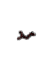 c1ccc(-c2ccc3c(c2)c2cc(-c4ccccc4)ccc2n3-c2ccc(-c3cccc(-c4ccc(-c5ccc6sc7ccccc7c6c5)cc4)c3)cc2)cc1